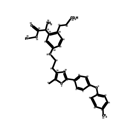 Cc1oc(-c2ccc(Oc3ccc(C(F)(F)F)cc3)cc2)nc1CCOc1ccc(CCC(=O)O)c(C(N)C(=O)OC(C)C)c1